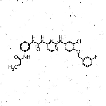 C=CC(=O)Nc1cccc(NC(=O)Nc2ccnc(Nc3ccc(OCc4cccc(F)c4)c(Cl)c3)n2)c1